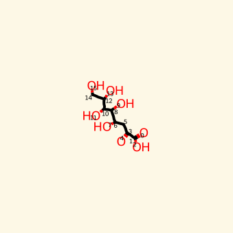 O=C(O)C(=O)CC(O)C(O)C(O)C(O)CO